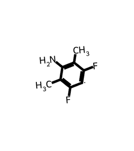 Cc1c(F)[c]c(F)c(C)c1N